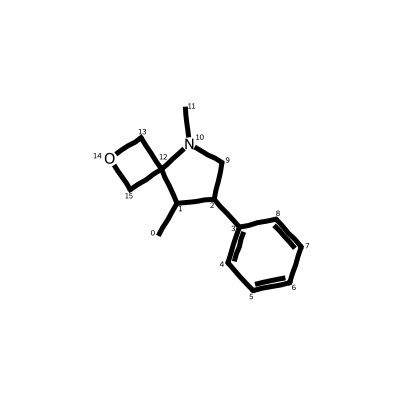 CC1C(c2ccccc2)CN(C)C12COC2